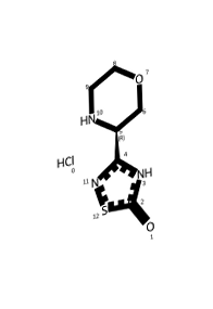 Cl.O=c1[nH]c([C@@H]2COCCN2)ns1